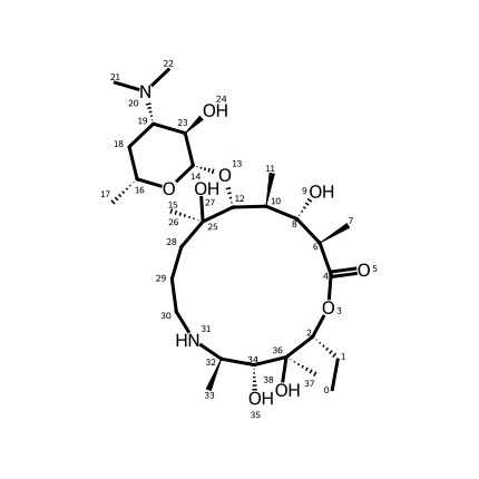 CC[C@H]1OC(=O)[C@H](C)[C@@H](O)[C@H](C)[C@@H](O[C@@H]2O[C@H](C)C[C@H](N(C)C)[C@H]2O)[C@](C)(O)CCCN[C@H](C)[C@@H](O)[C@]1(C)O